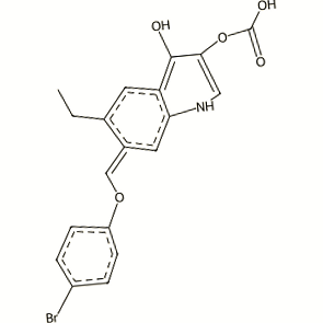 CCc1cc2c(cc1=COc1ccc(Br)cc1)NC=C(OC(=O)O)C=2O